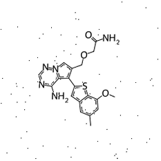 COc1cc(C)cc2cc(-c3c(COCC(N)=O)cn4ncnc(N)c34)sc12